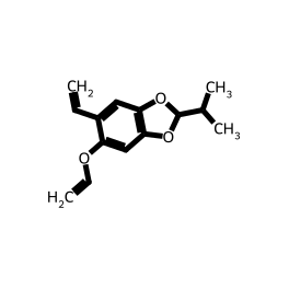 C=COc1cc2c(cc1C=C)OC(C(C)C)O2